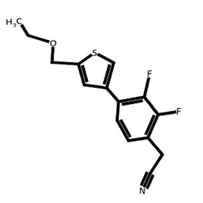 CCOCc1cc(-c2ccc(CC#N)c(F)c2F)cs1